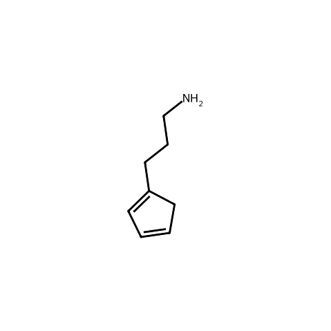 NCCCC1=CC=CC1